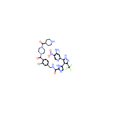 Nc1cc(-c2[nH]nc(C(F)(F)F)c2-c2cnc(C(=O)NCc3ccc(C(=O)N4CCN(C(=O)C5CCNCC5)CC4)c(Cl)c3)[nH]2)ncc1[N+](=O)[O-]